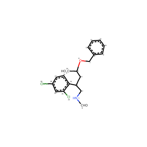 O=CNCC(CC(OCc1ccccc1)C(=O)O)c1ccc(Cl)cc1Cl